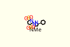 CNS(=O)(=O)c1ccc(S(C)(=O)=O)nc1-n1nc(-c2ccccc2)cc1C